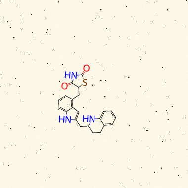 O=C1NC(=O)C(Cc2cccc3[nH]c(CC4CCc5ccccc5N4)cc23)S1